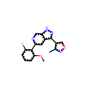 COc1cccc(F)c1-c1cc2c(-c3conc3C)n[nH]c2cn1